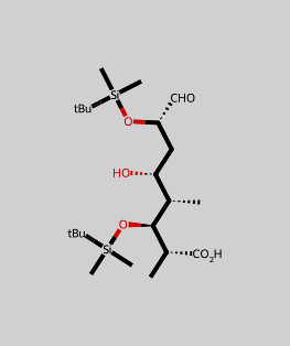 C[C@H]([C@H](O[Si](C)(C)C(C)(C)C)[C@@H](C)C(=O)O)[C@H](O)C[C@@H](C=O)O[Si](C)(C)C(C)(C)C